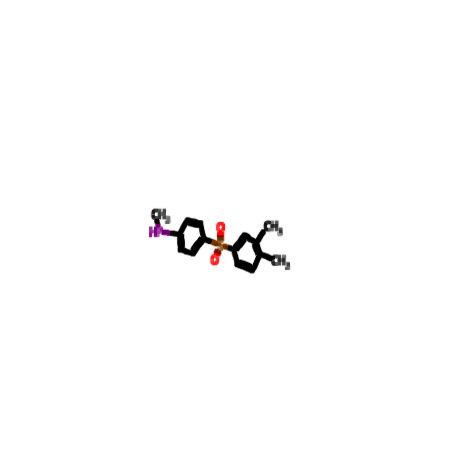 CPc1ccc(S(=O)(=O)c2ccc(C)c(C)c2)cc1